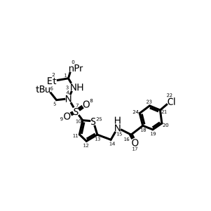 CCCC(CC)NN(CC(C)(C)C)S(=O)(=O)c1ccc(CNC(=O)c2ccc(Cl)cc2)s1